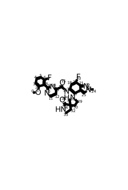 COc1cccc(F)c1-c1nccc(C(=O)Nc2cc(F)c3nn(C)cc3c2N2CCC3(CCNC3=O)C2)n1